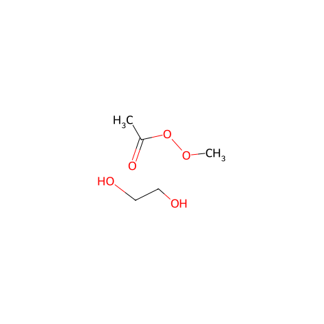 COOC(C)=O.OCCO